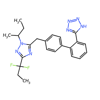 CCC(C)n1nc(C(F)(F)CC)nc1Cc1ccc(-c2ccccc2-c2nnn[nH]2)cc1